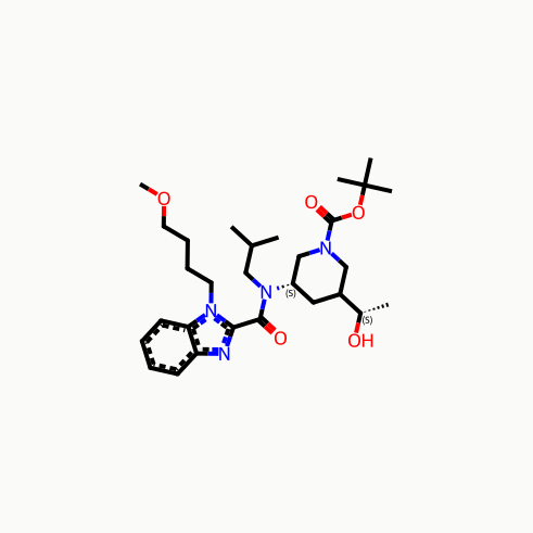 COCCCCn1c(C(=O)N(CC(C)C)[C@H]2CC([C@H](C)O)CN(C(=O)OC(C)(C)C)C2)nc2ccccc21